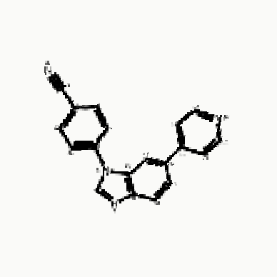 N#Cc1ccc(-n2cnc3ccc(-c4ccncc4)cc32)cc1